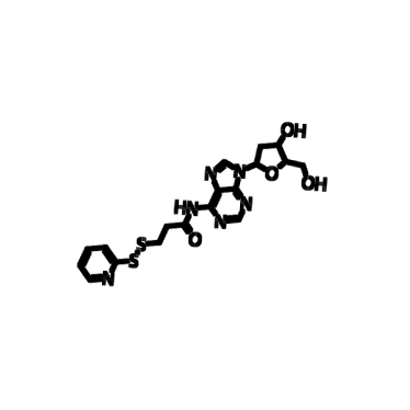 O=C(CCSSc1ccccn1)Nc1ncnc2c1ncn2C1CC(O)C(CO)O1